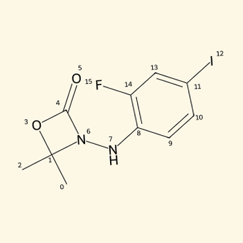 CC1(C)OC(=O)N1Nc1ccc(I)cc1F